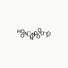 O=C(OCc1cccs1)C(=O)On1cnc2c1CCN(C(=O)O)C2